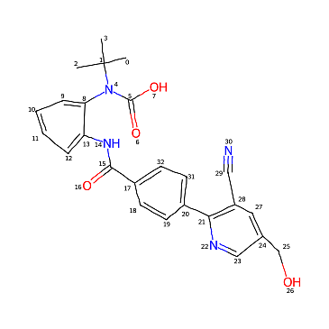 CC(C)(C)N(C(=O)O)c1ccccc1NC(=O)c1ccc(-c2ncc(CO)cc2C#N)cc1